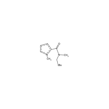 CN(CC(C)(C)C)C(=O)c1cccn1C